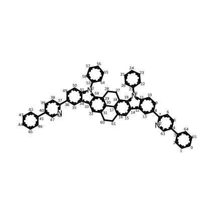 c1ccc(-c2ccc(-c3ccc4c(c3)c3cc5c6c(c3n4-c3ccccc3)CCc3c-6c(cc4c6cc(-c7ccc(-c8ccccc8)cn7)ccc6n(-c6ccccc6)c34)CC5)nc2)cc1